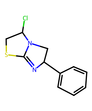 ClC1CSC2=NC(c3ccccc3)CN21